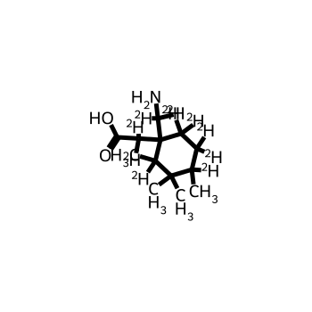 [2H]C([2H])(N)C1(C([2H])([2H])C(=O)O)C([2H])([2H])C([2H])([2H])C([2H])(C)C(C)(C)C1([2H])C